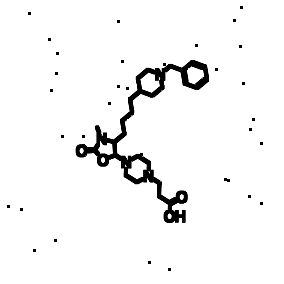 CN1C(=O)OC(N2CCN(CCC(=O)O)CC2)C1CCCCC1CCN(Cc2ccccc2)CC1